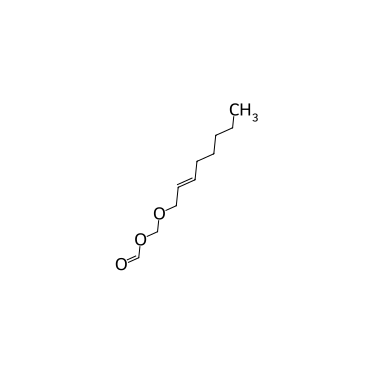 CCCCCC=CCOCOC=O